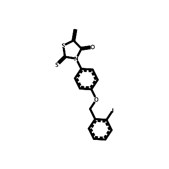 C=C1SC(=S)N(c2ccc(OCc3ccccc3I)cc2)C1=O